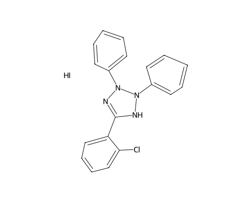 Clc1ccccc1C1=NN(c2ccccc2)N(c2ccccc2)N1.I